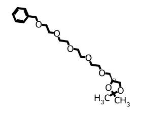 CC1(C)OC[C@H](COCCOCCOCCOCCOCc2ccccc2)O1